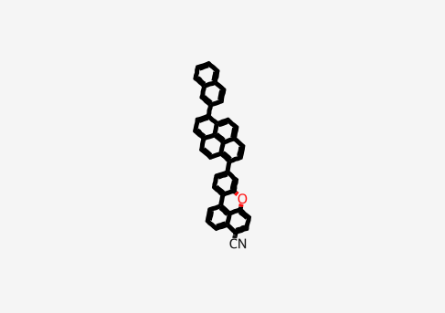 N#Cc1ccc2c3c(cccc13)-c1ccc(-c3ccc4ccc5c(-c6ccc7ccccc7c6)ccc6ccc3c4c65)cc1O2